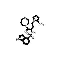 Nc1cccn1CCC(NS(=O)(=O)c1cccc2[nH]ccc12)C(=O)N1CCCOCC1